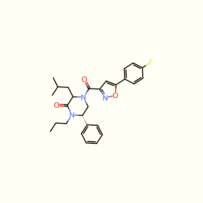 CCCN1C(=O)C(CC(C)C)N(C(=O)c2cc(-c3ccc(F)cc3)on2)C[C@@H]1c1ccccc1